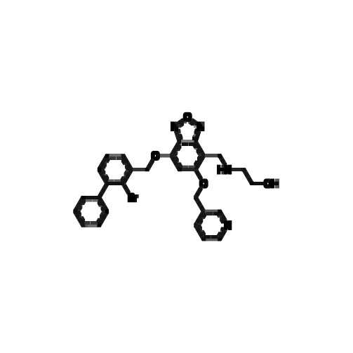 OCCNCc1c(OCc2cccnc2)cc(OCc2cccc(-c3ccccc3)c2Br)c2nonc12